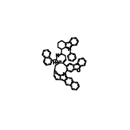 C1=C2c3cc4c(cc3-n3c5cc(ccc5c5cc6ccccc6cc53)C[C@@H]2C(c2cccc3ccccc23)N=C(C2CCCc3c2n(-c2ccccc2)c2ccccc32)C1)oc1ccccc14